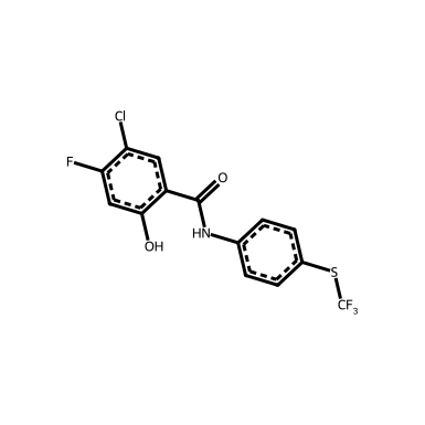 O=C(Nc1ccc(SC(F)(F)F)cc1)c1cc(Cl)c(F)cc1O